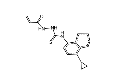 C=CC(=O)NNC(=S)Nc1ccc(C2CC2)c2ccccc12